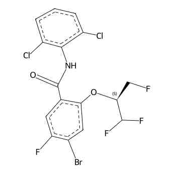 O=C(Nc1c(Cl)cccc1Cl)c1cc(F)c(Br)cc1O[C@@H](CF)C(F)F